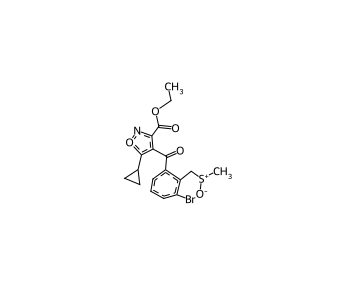 CCOC(=O)c1noc(C2CC2)c1C(=O)c1cccc(Br)c1C[S+](C)[O-]